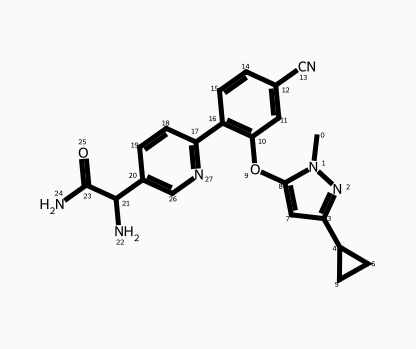 Cn1nc(C2CC2)cc1Oc1cc(C#N)ccc1-c1ccc(C(N)C(N)=O)cn1